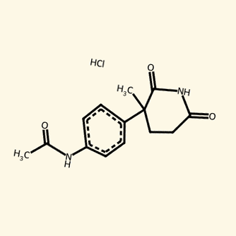 CC(=O)Nc1ccc(C2(C)CCC(=O)NC2=O)cc1.Cl